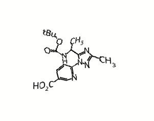 Cc1nc(C(C)NC(=O)OC(C)(C)C)n(-c2ccc(C(=O)O)cn2)n1